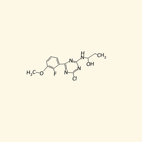 CCC(O)Nc1nc(Cl)nc(-c2cccc(OC)c2F)n1